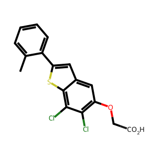 Cc1ccccc1-c1cc2cc(OCC(=O)O)c(Cl)c(Cl)c2s1